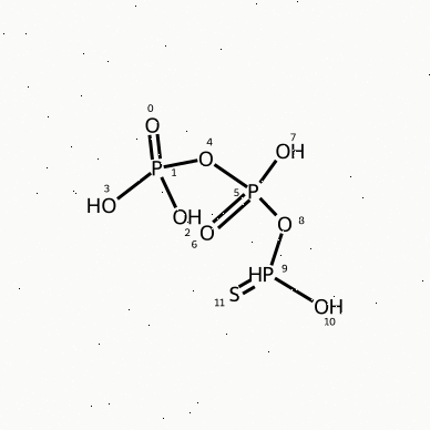 O=P(O)(O)OP(=O)(O)O[PH](O)=S